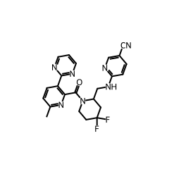 Cc1ccc(-c2ncccn2)c(C(=O)N2CCC(F)(F)CC2CNc2ccc(C#N)cn2)n1